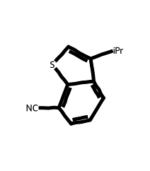 CC(C)c1csc2c(C#N)cccc12